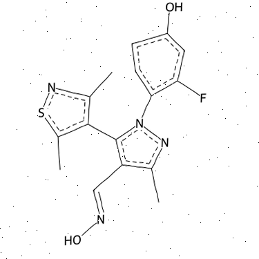 Cc1nn(-c2ccc(O)cc2F)c(-c2c(C)nsc2C)c1/C=N/O